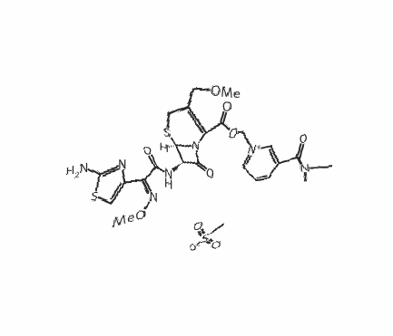 COCC1=C(C(=O)OC[n+]2cccc(C(=O)N(C)C)c2)N2C(=O)[C@@H](NC(=O)C(=NOC)c3csc(N)n3)[C@H]2SC1.CS(=O)(=O)[O-]